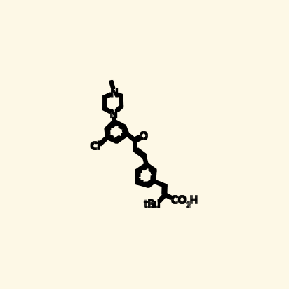 CN1CCN(c2cc(Cl)cc(C(=O)C=Cc3cccc(C=C(C(=O)O)C(C)(C)C)c3)c2)CC1